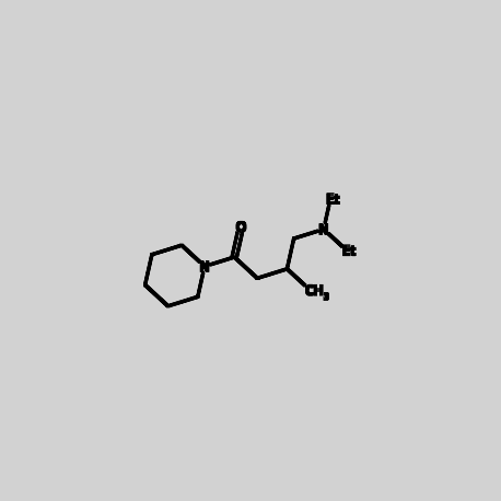 CCN(CC)CC(C)CC(=O)N1CCCCC1